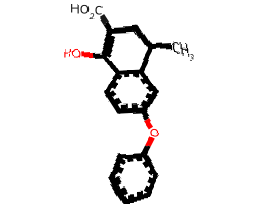 CC1CC(C(=O)O)=C(O)c2ccc(Oc3ccccc3)cc21